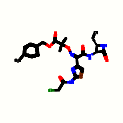 CC(C)(O/N=C(\C(=O)N[C@H]1C(=O)N[C@H]1CC#N)c1csc(NC(=O)CCl)n1)C(=O)OCc1ccc([N+](=O)[O-])cc1